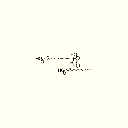 CCCCCCCCCCCCSCCC(=O)O.CCCCCCCCCCCCSCCC(=O)O.Cc1ccc(C(C)(C)C)c(O)c1.Cc1ccc(C(C)(C)C)c(O)c1